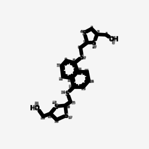 OCC1CSC(CSc2cccc3c(SCC4SCC(CO)S4)cccc23)S1